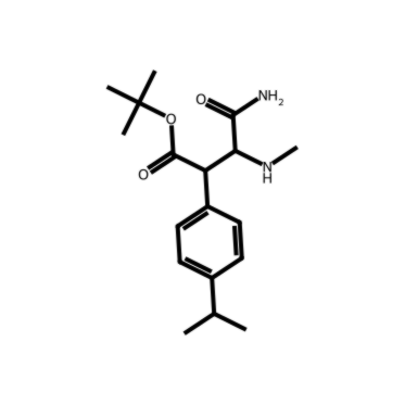 CNC(C(N)=O)C(C(=O)OC(C)(C)C)c1ccc(C(C)C)cc1